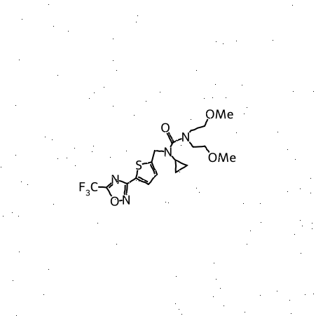 COCCN(CCOC)C(=O)N(Cc1ccc(-c2noc(C(F)(F)F)n2)s1)C1CC1